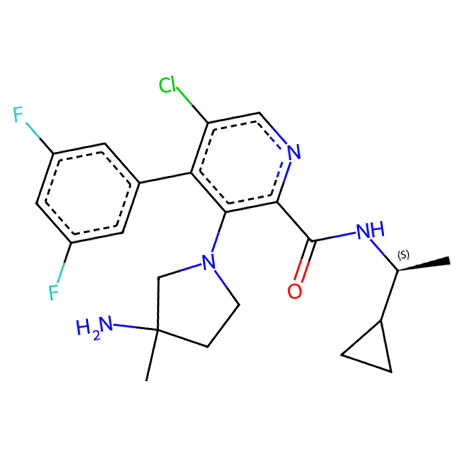 C[C@H](NC(=O)c1ncc(Cl)c(-c2cc(F)cc(F)c2)c1N1CCC(C)(N)C1)C1CC1